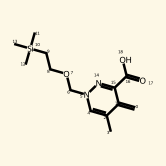 C=C1C(C)=CN(COCC[Si](C)(C)C)N=C1C(=O)O